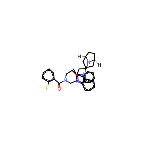 Cc1nc2ccccc2n1C1C[C@H]2CC[C@@H](C1)N2CCC1(c2ccccc2)CCN(C(=O)c2ccccc2F)CC1